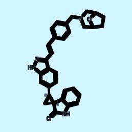 O=C1Nc2ccccc2[C@]12C[C@H]2c1ccc2c(C=Cc3ccc(CN4CC5CCC(C4)O5)cc3)n[nH]c2c1